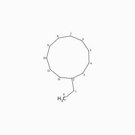 CC[C]1CCCCCCCCCC1